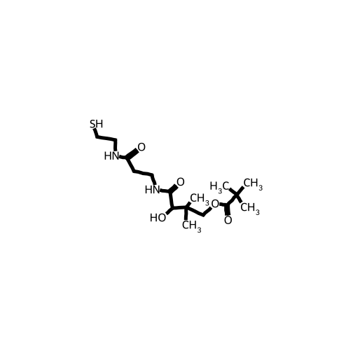 CC(C)(C)C(=O)OCC(C)(C)C(O)C(=O)NCCC(=O)NCCS